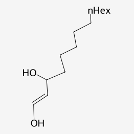 CCCCCCCCCCCC(O)C=CO